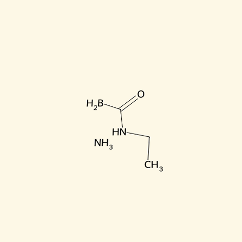 BC(=O)NCC.N